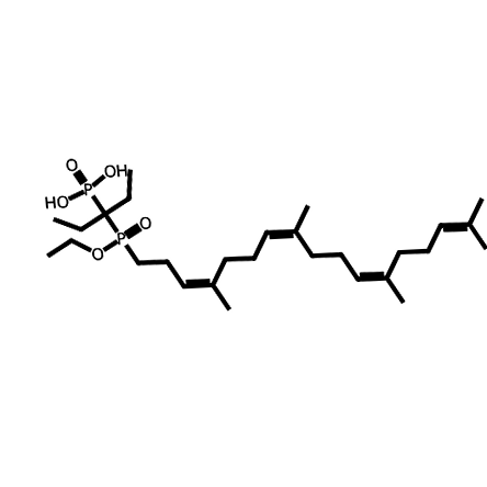 CCOP(=O)(CCC=C(C)CCC=C(C)CCC=C(C)CCC=C(C)C)C(CC)(CC)P(=O)(O)O